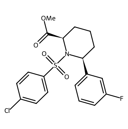 COC(=O)[C@H]1CCC[C@@H](c2cccc(F)c2)N1S(=O)(=O)c1ccc(Cl)cc1